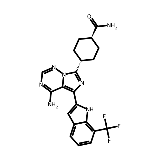 Nc1ncnn2c1c(-c1cc3cccc(C(F)(F)F)c3[nH]1)nc2[C@H]1CC[C@H](C(N)=O)CC1